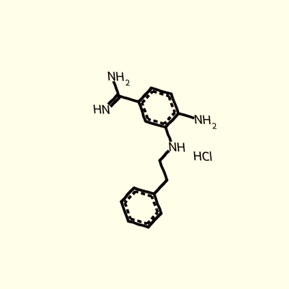 Cl.N=C(N)c1ccc(N)c(NCCc2ccccc2)c1